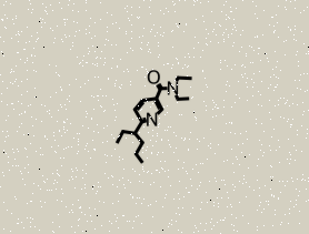 CCCC(CC)c1ccc(C(=O)N(CC)CC)cn1